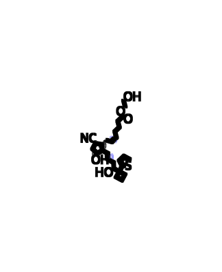 N#CC1C[C@@H](O)C(/C=C/CC(O)C2(c3cccs3)CCC2)[C@H]1C/C=C\CCCC(=O)OCCO